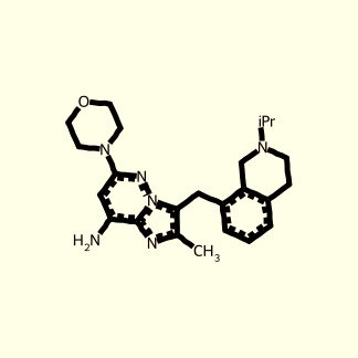 Cc1nc2c(N)cc(N3CCOCC3)nn2c1Cc1cccc2c1CN(C(C)C)CC2